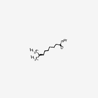 CCCC(=O)CCCCCC=C(C)C